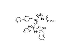 COC(=O)N[C@H](C(=O)NN(CC[C@@](O)(Cc1ccccc1)C(=O)NC1c2ccccc2C[C@H]1O)Cc1ccc(-c2ccncc2)cc1)C(C)(C)C